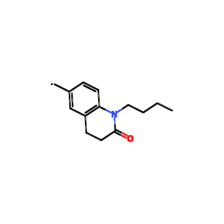 [CH2]c1ccc2c(c1)CCC(=O)N2CCCC